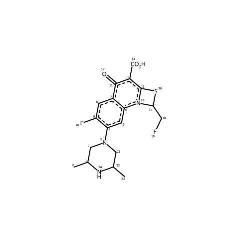 CC1CN(c2cc3c(cc2F)c(=O)c(C(=O)O)c2n3C(CF)S2)CC(C)N1